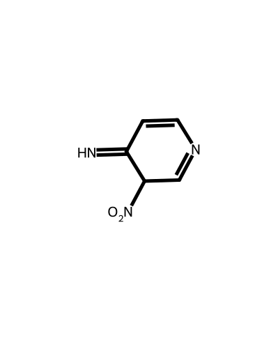 N=C1C=CN=CC1[N+](=O)[O-]